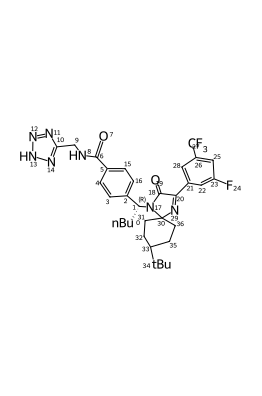 CCCC[C@H](c1ccc(C(=O)NCc2nn[nH]n2)cc1)N1C(=O)C(c2cc(F)cc(C(F)(F)F)c2)=NC12CCC(C(C)(C)C)CC2